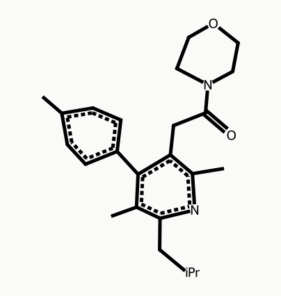 Cc1ccc(-c2c(C)c(CC(C)C)nc(C)c2CC(=O)N2CCOCC2)cc1